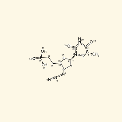 Cc1cn([C@H]2CC(N=[N+]=[N-])[C@@H](CCP(=O)(O)O)O2)c(=O)[nH]c1=O